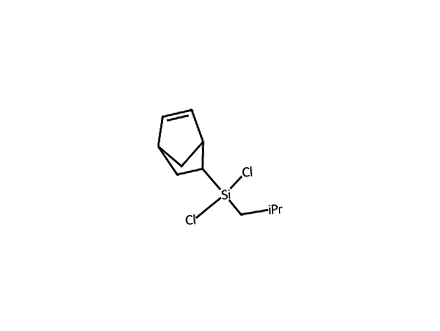 CC(C)C[Si](Cl)(Cl)C1CC2C=CC1C2